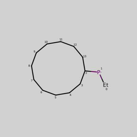 CC[P]C1CCCCCCCCCCC1